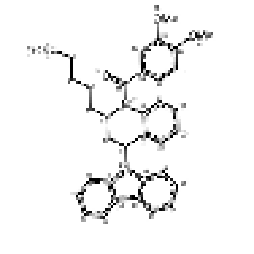 CCOC(=O)CCCCC1CC(n2c3ccccc3c3ccccc32)c2ccccc2N1C(=O)c1ccc(OC)c(OC)c1